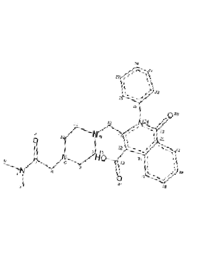 CN(C)C(=O)CN1CCN(Cc2c(C(=O)O)c3ccccc3c(=O)n2-c2ccccc2)CC1